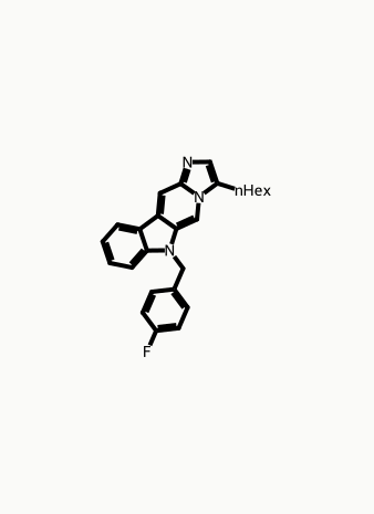 CCCCCCc1cnc2cc3c4ccccc4n(Cc4ccc(F)cc4)c3cn12